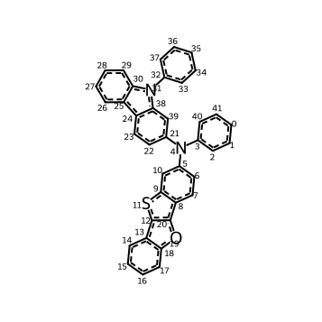 c1ccc(N(c2ccc3c(c2)sc2c4ccccc4oc32)c2ccc3c4ccccc4n(-c4ccccc4)c3c2)cc1